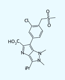 CC(C)c1c2nc(C(=O)O)c(-c3ccc(CS(C)(=O)=O)c(Cl)c3)c-2n(C)n1C